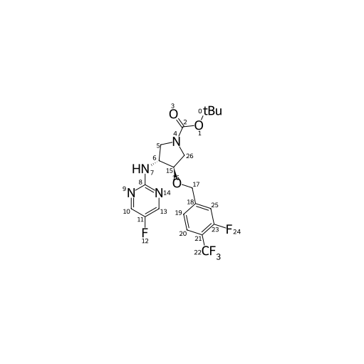 CC(C)(C)OC(=O)N1C[C@@H](Nc2ncc(F)cn2)[C@H](OCc2ccc(C(F)(F)F)c(F)c2)C1